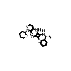 CC[C@@H](Nc1c(Nc2ccnn(C3CCCCO3)c2=O)c(=O)c1=O)c1ccccc1